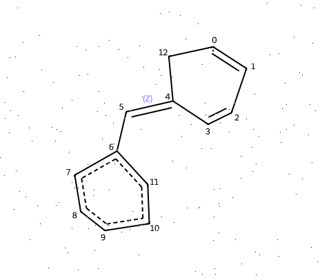 [C]1=CC=C/C(=C\c2ccccc2)C1